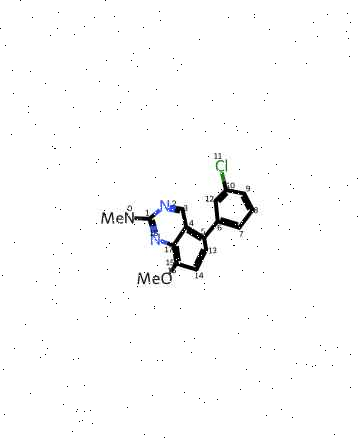 CNc1ncc2c(-c3cccc(Cl)c3)ccc(OC)c2n1